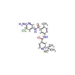 Cc1ccc(NC(=O)c2ccnc(C(C)(C)C#N)c2)cc1C(=O)Nc1cnc(N)c(Cl)c1